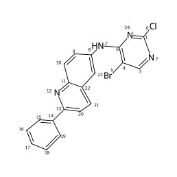 Clc1ncc(Br)c(Nc2ccc3nc(-c4ccccc4)ccc3c2)n1